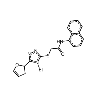 CCn1c(SCC(=O)Nc2cccc3ccccc23)nnc1C1CC=CO1